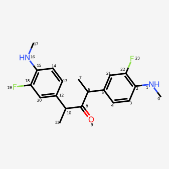 CNc1ccc(C(C)C(=O)C(C)c2ccc(NC)c(F)c2)cc1F